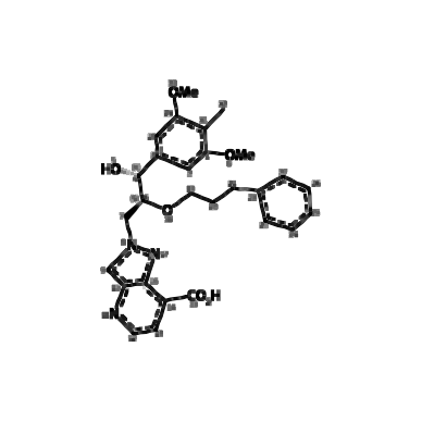 COc1cc([C@@H](O)[C@H](Cn2cc3nccc(C(=O)O)c3n2)OCCCc2ccccc2)cc(OC)c1C